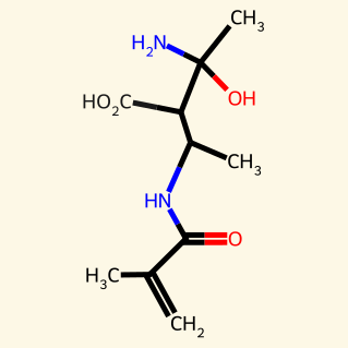 C=C(C)C(=O)NC(C)C(C(=O)O)C(C)(N)O